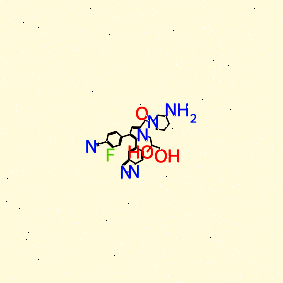 Cn1cc2cc(-c3c(-c4ccc(C#N)c(F)c4)cc(C(=O)N4CCC[C@@H](N)C4)n3C[C@H](O)CO)ccc2n1